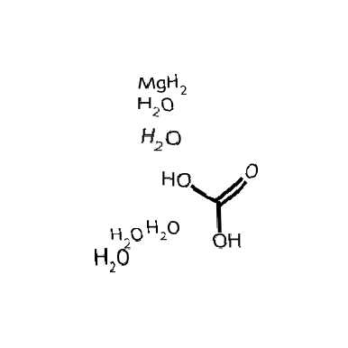 O.O.O.O.O.O=C(O)O.[MgH2]